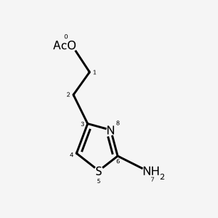 CC(=O)OCCc1csc(N)n1